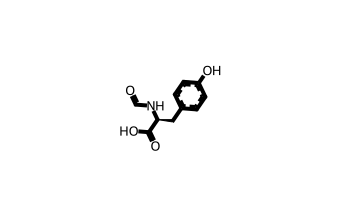 O=CN[C@@H](Cc1ccc(O)cc1)C(=O)O